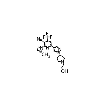 C[C@H]1CCN1c1nc(-c2cnn(C3CCN(CCO)CC3)c2)cc(C(F)(F)F)c1C#N